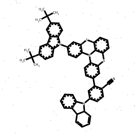 CC(C)(C)c1ccc2c(c1)c1cc(C(C)(C)C)ccc1n2-c1ccc2c(c1)Sc1cccc3c1B2c1ccc(-c2cc(N4c5ccccc5C5C=CC=CC54)ccc2C#N)cc1S3